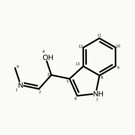 C/N=C\C(O)c1c[nH]c2ccccc12